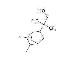 CC1C2CC(C1C)C(C(CO)(C(F)(F)F)C(F)(F)F)C2